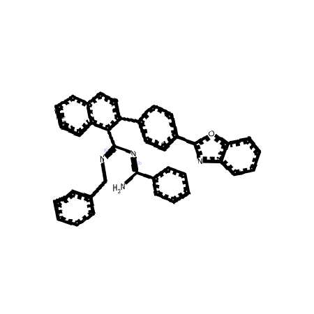 N/C(=N\C(=N/Cc1ccccc1)c1c(-c2ccc(-c3nc4ccccc4o3)cc2)ccc2ccccc12)c1ccccc1